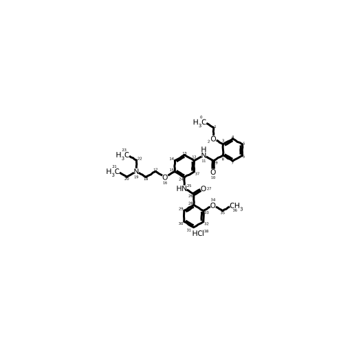 CCOc1ccccc1C(=O)Nc1ccc(OCCN(CC)CC)c(NC(=O)c2ccccc2OCC)c1.Cl